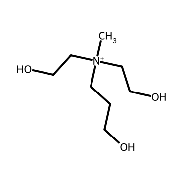 C[N+](CCO)(CCO)CCCO